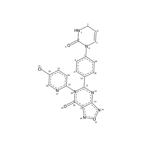 O=C1NCC=CN1c1ccc(-c2nc3nonc3c(=O)n2-c2ccc(Cl)cn2)cc1